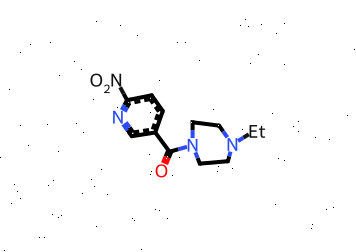 CCN1CCN(C(=O)c2ccc([N+](=O)[O-])nc2)CC1